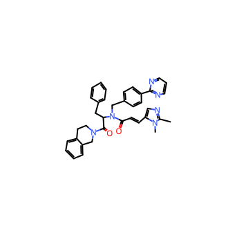 Cc1ncc(C=CC(=O)N(Cc2ccc(-c3ncccn3)cc2)C(Cc2ccccc2)C(=O)N2CCc3ccccc3C2)n1C